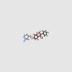 CN1CCCC(COc2ccc3c(=O)c(-c4ccccc4)coc3c2)C1